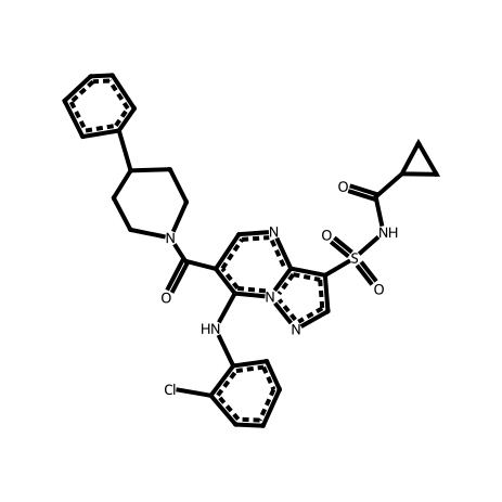 O=C(NS(=O)(=O)c1cnn2c(Nc3ccccc3Cl)c(C(=O)N3CCC(c4ccccc4)CC3)cnc12)C1CC1